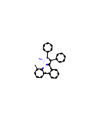 Cc1cccc2c3ccccc3c3c(-c4ccccc4)c(-c4ccccc4)[n+](C)n3c12